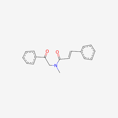 CN(CC(=O)c1ccccc1)C(=O)C=Cc1ccccc1